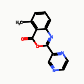 Cc1cccc2nc(-c3cnccn3)oc(=O)c12